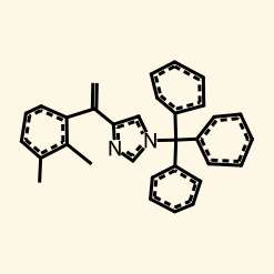 C=C(c1cn(C(c2ccccc2)(c2ccccc2)c2ccccc2)cn1)c1cccc(C)c1C